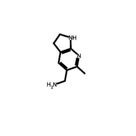 Cc1nc2c(cc1CN)CCN2